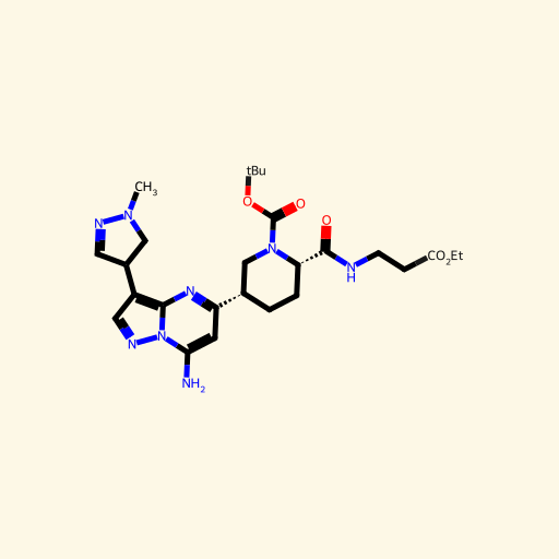 CCOC(=O)CCNC(=O)[C@@H]1CC[C@H](c2cc(N)n3ncc(C4C=NN(C)C4)c3n2)CN1C(=O)OC(C)(C)C